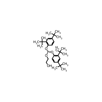 CC(C)(C)c1ccc(OP(OCCO)Oc2ccc(C(C)(C)C)cc2C(C)(C)C)c(C(C)(C)C)c1